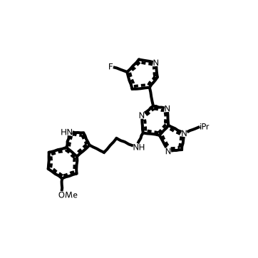 COc1ccc2[nH]cc(CCNc3nc(-c4cncc(F)c4)nc4c3ncn4C(C)C)c2c1